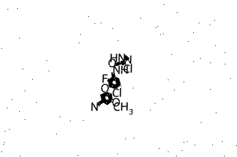 COc1cc(C#N)cc(Oc2c(Cl)ccc(CNC(=O)c3[nH]cnc3Cl)c2F)c1